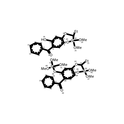 CCC(Oc1ccc(C(=O)c2ccccc2)c(O)c1)[Si](OC)(OC)OC.CCC(Oc1ccc(C(=O)c2ccccc2)c(O[Si](OC)(OC)OC)c1)[Si](OC)(OC)OC